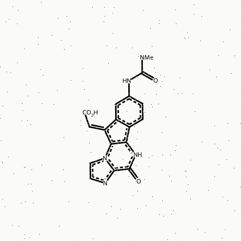 CNC(=O)Nc1ccc2c(c1)c(=CC(=O)O)c1c2[nH]c(=O)c2nccn21